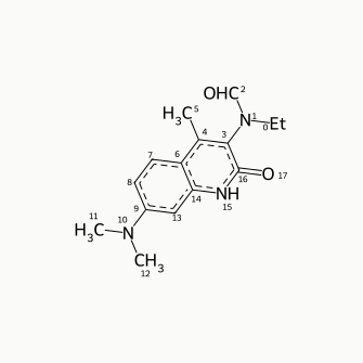 CCN(C=O)c1c(C)c2ccc(N(C)C)cc2[nH]c1=O